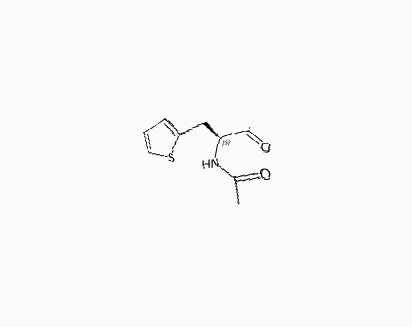 CC(=O)N[C@H]([C]=O)Cc1cccs1